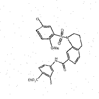 CCOC(=O)c1ccc(NC(=O)c2ccc3c(c2)N(S(=O)(=O)c2cc(Cl)ccc2OC)CCC3)cc1F